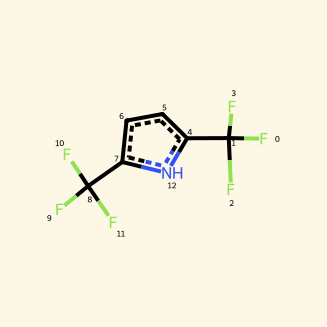 FC(F)(F)c1ccc(C(F)(F)F)[nH]1